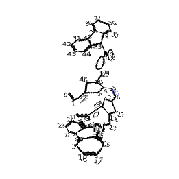 C=CC1CC(/C=C\C2CC(C=C)C(Cn3c4ccccc4c4ccccc43)C2)C(COC(=O)C2c3ccccc3-c3ccccc32)C1